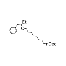 [CH2]CC(Cc1ccccc1)OCCCCCCCCCCCCCCCCCC